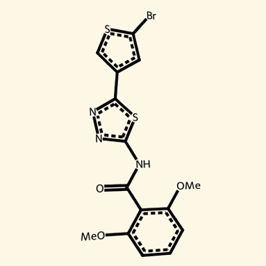 COc1cccc(OC)c1C(=O)Nc1nnc(-c2csc(Br)c2)s1